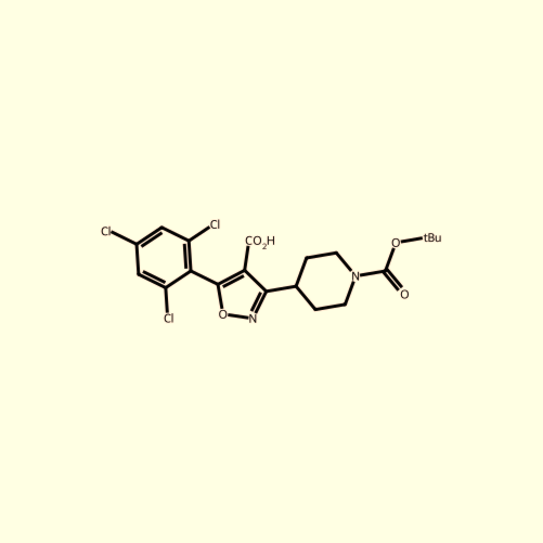 CC(C)(C)OC(=O)N1CCC(c2noc(-c3c(Cl)cc(Cl)cc3Cl)c2C(=O)O)CC1